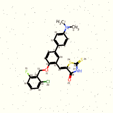 CN(C)c1ccc(-c2ccc(OCc3c(F)cccc3Cl)c(C=C3SC(=S)NC3=O)c2)cc1